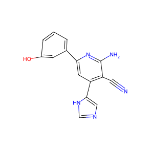 N#Cc1c(-c2cnc[nH]2)cc(-c2cccc(O)c2)nc1N